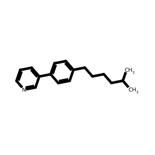 CC(C)CCCCc1ccc(-c2cccnc2)cc1